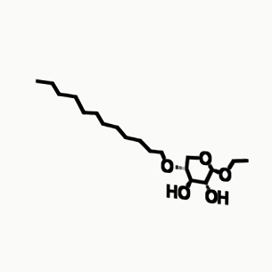 CCCCCCCCCCCCO[C@@H]1CO[C@@H](OCC)[C@H](O)[C@H]1O